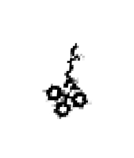 CC[S+]([O-])CCCc1cn(C(c2ccccc2)(c2ccccc2)c2ccccc2)c(F)n1